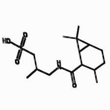 CC(CNC(=O)C1C(C)CCC2C1C2(C)C)CS(=O)(=O)O